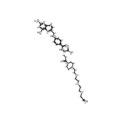 C#CCOCCOCCOCCN1CCN(C(=O)CC[C@H](NC(=O)c2ccc(NCc3cnc4nc(N)nc(O)c4n3)cc2)C(=O)O)CC1